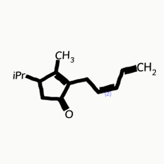 C=C/C=C\CC1=C(C)C(C(C)C)CC1=O